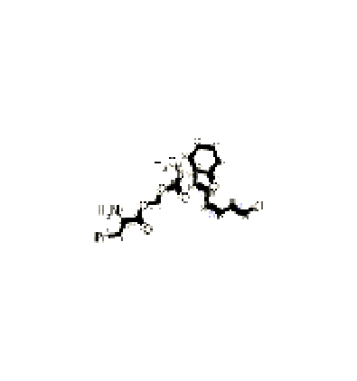 CC(C)C[C@H](N)C(=O)OCOC(=O)N(C)[C@]1(/C=C/C=C\C=C\Cl)CCCCC1=O